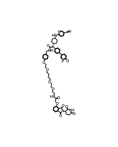 Cn1cc(-c2ccc(N(C(=O)NCc3ccc(OCCOCCCCOCCOCCNC(=O)COc4cccc5c4C(=O)N(C4CCC(=O)NC4=O)C5=O)cc3)[C@H]3CC[C@H](Nc4ccc(C#N)cn4)CC3)cc2)ccc1=O